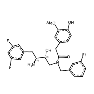 CCc1cccc(CN(C[C@@H](O)[C@@H](N)Cc2cc(F)cc(F)c2)C(=O)Cc2ccc(O)c(OC)c2)c1